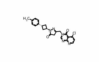 Cc1ccc([C@H]2C[C@H](N3N=C(Cn4cnc5nccc(Cl)c5c4=O)CC3=O)C2)cc1